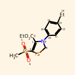 CCOC(=O)C1=C(S(C)(=O)=O)SCN1c1ccc(CC)cc1